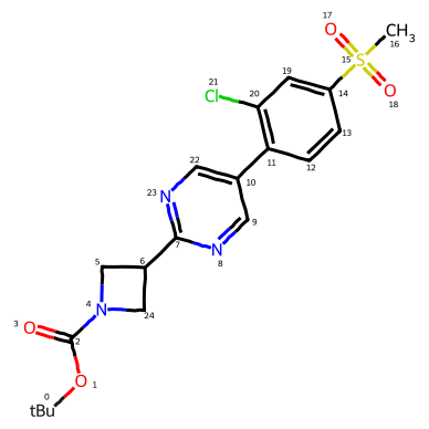 CC(C)(C)OC(=O)N1CC(c2ncc(-c3ccc(S(C)(=O)=O)cc3Cl)cn2)C1